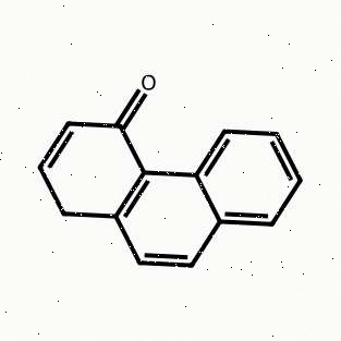 O=C1C=CCc2ccc3ccccc3c21